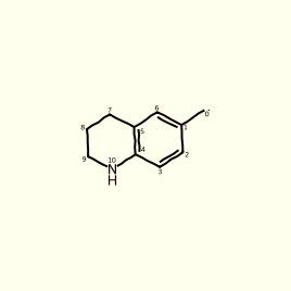 [CH2]c1ccc2c(c1)CCCN2